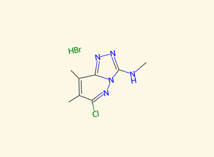 Br.CNc1nnc2c(C)c(C)c(Cl)nn12